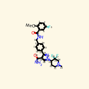 COc1ccc(F)cc1C(=O)NCc1ccc(-c2nn(C3CCN(C)CC3(F)F)cc2C(N)=O)cc1